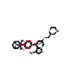 BC(B)(c1ccc(OC)nc1)N1C2CC1CN(c1ccc(-c3cc(OCC4CNCCO4)cn4ncc(C#N)c34)cn1)C2